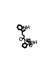 O=C(CCc1c[nH]c2ccccc12)Nc1ccccc1S(=O)(=O)O